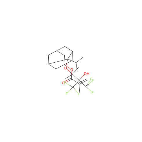 C=C(C)C(=O)OC12CC3CC(C1)C(OC(C)(C)C(O)(C(F)(F)F)C(F)(F)F)(C(C)C)C(C3)C2